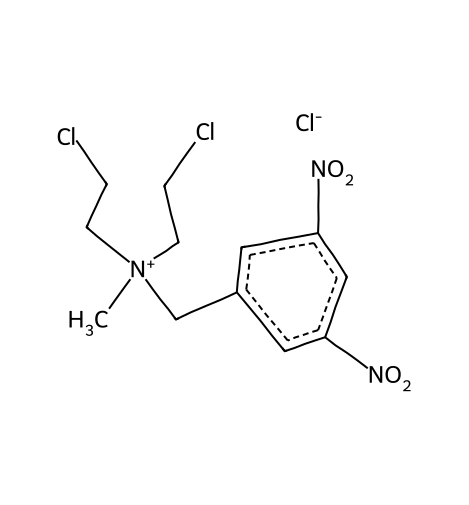 C[N+](CCCl)(CCCl)Cc1cc([N+](=O)[O-])cc([N+](=O)[O-])c1.[Cl-]